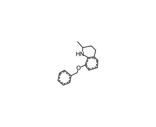 CC1CCc2cccc(OCc3ccccc3)c2N1